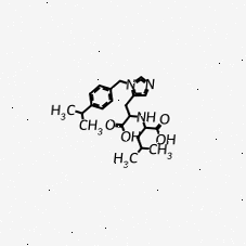 CC(C)CC(NC(Cc1cncn1Cc1ccc(C(C)C)cc1)C(=O)O)C(=O)O